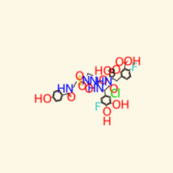 O=C(NCCS(=O)(=O)N1CCN(C(=O)NC(C(=O)NC2Cc3ccc(F)c(C(=O)O)c3OB2O)c2cc(F)c(O)c(O)c2Cl)C1=O)c1ccc(O)cc1